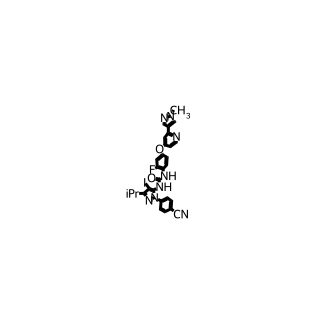 CC(C)c1nn(-c2ccc(C#N)cc2)c(NC(=O)Nc2ccc(Oc3ccnc(-c4cnn(C)c4)c3)cc2F)c1I